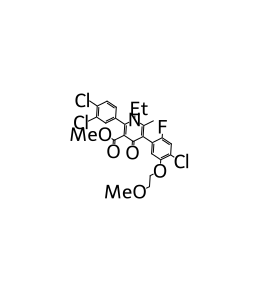 CCn1c(C)c(-c2cc(OCCOC)c(Cl)cc2F)c(=O)c(C(=O)OC)c1-c1ccc(Cl)c(Cl)c1